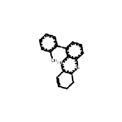 Cc1ccccc1-c1cccc2nc3c(nc12)C=CCC3